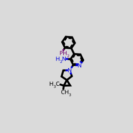 CC1(C)CC12CCN(c1nccc(-c3ccccc3P)c1N)C2